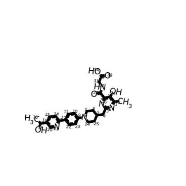 Cc1nc(CC2CCN(c3ccc(-c4ccc(C(C)O)cn4)cc3)CC2)nc(C(=O)NCC(=O)O)c1O